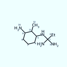 CCC(N)(N)NC1CCCC(N)C1C